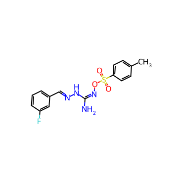 Cc1ccc(S(=O)(=O)ON=C(N)NN=Cc2cccc(F)c2)cc1